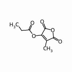 CCC(=O)OC1=C(C)C(=O)OC1=O